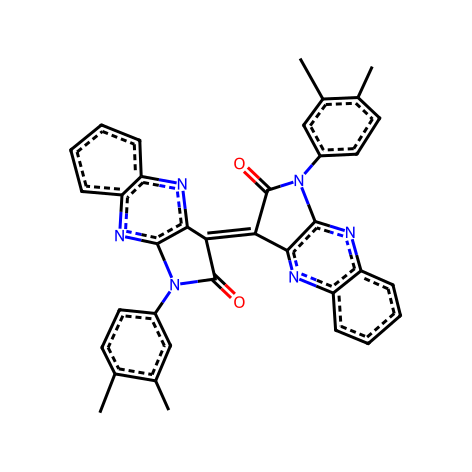 Cc1ccc(N2C(=O)/C(=C3/C(=O)N(c4ccc(C)c(C)c4)c4nc5ccccc5nc43)c3nc4ccccc4nc32)cc1C